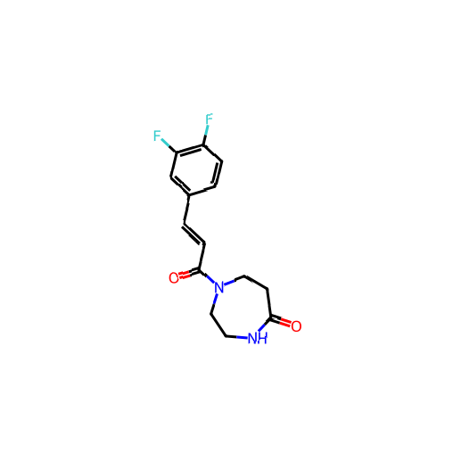 O=C1CCN(C(=O)C=Cc2ccc(F)c(F)c2)CCN1